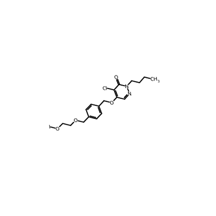 CCCCn1ncc(OCc2ccc(COCCOI)cc2)c(Cl)c1=O